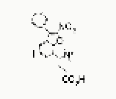 C[N+](C)(C)C(CCC(=O)O)c1cccc2c(-c3ccccc3)c([N+](=O)[O-])oc12.[I-]